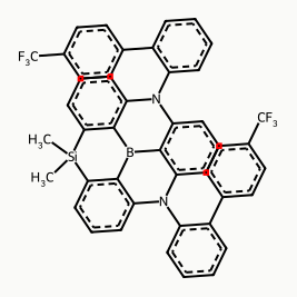 C[Si]1(C)c2cccc3c2B2c4c(cccc4N(c4ccccc4-c4ccc(C(F)(F)F)cc4)c4cccc1c42)N3c1ccccc1-c1ccc(C(F)(F)F)cc1